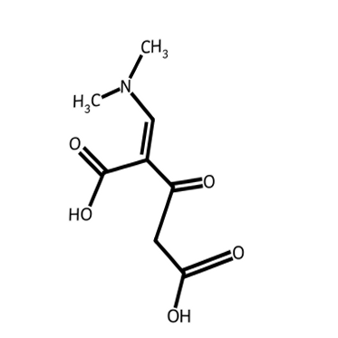 CN(C)C=C(C(=O)O)C(=O)CC(=O)O